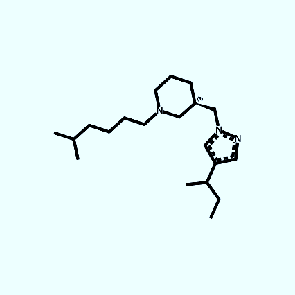 CCC(C)c1cnn(C[C@@H]2CCCN(CCCCC(C)C)C2)c1